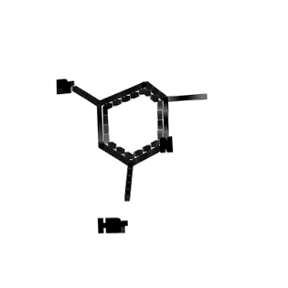 Br.Cc1cc(Br)cc(C)n1